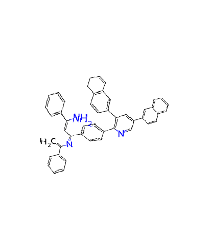 C=C(/N=C(\C=C(/N)c1ccccc1)c1ccc(-c2ncc(-c3ccc4ccccc4c3)cc2-c2ccc3c(c2)C=CCC3)cc1)c1ccccc1